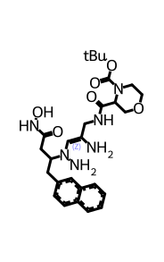 CC(C)(C)OC(=O)N1CCOCC1C(=O)NC/C(N)=C/N(N)C(CC(=O)NO)Cc1ccc2ccccc2c1